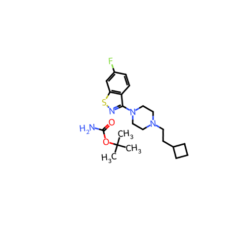 CC(C)(C)OC(N)=O.Fc1ccc2c(N3CCN(CCC4CCC4)CC3)nsc2c1